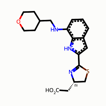 O=C(O)C[C@H]1CSC(c2cc3cccc(NCC4CCOCC4)c3[nH]2)=N1